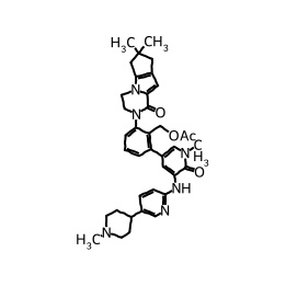 CC(=O)OCc1c(-c2cc(Nc3ccc(C4CCN(C)CC4)cn3)c(=O)n(C)c2)cccc1N1CCn2c(cc3c2CC(C)(C)C3)C1=O